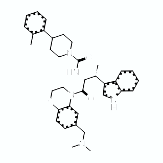 Cc1ccccc1C1CCN(C(=O)N[C@@H](C(=O)N2CCSc3ccc(CN(C)C)cc32)[C@@H](C)c2c[nH]c3ccccc23)CC1